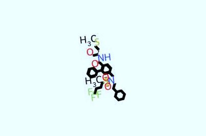 CSCC[C@@H](C=O)NC(=O)c1ccc(CN(CCC2CCCCC2)S(=O)(=O)CCCC(F)(F)F)cc1-c1ccccc1C